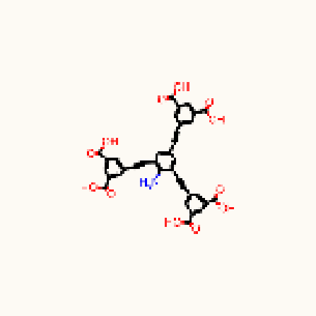 Nc1c(C#Cc2cc(C(=O)O)cc(C(=O)O)c2)cc(C#Cc2cc(C(=O)O)cc(C(=O)O)c2)cc1C#Cc1cc(C(=O)O)cc(C(=O)O)c1